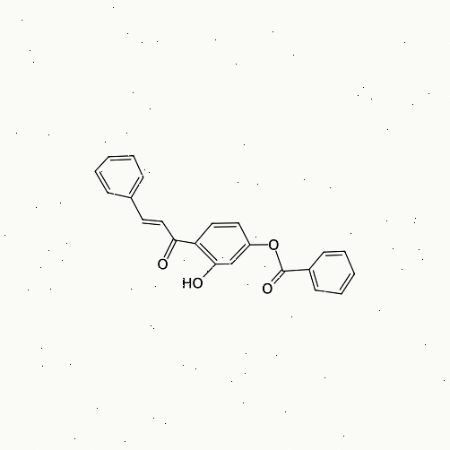 O=C(Oc1ccc(C(=O)C=Cc2ccccc2)c(O)c1)c1ccccc1